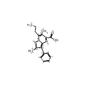 CCCc1c(C)c(C(=O)O)nc2c(-c3ccccc3)c(C)nn12